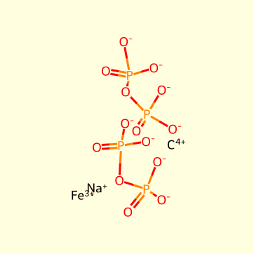 O=P([O-])([O-])OP(=O)([O-])[O-].O=P([O-])([O-])OP(=O)([O-])[O-].[C+4].[Fe+3].[Na+]